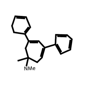 CNC1(C)CC=C(c2ccccc2)C=C(C2=CC=CCC2)C1